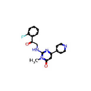 Cn1c(NCC(=O)c2ccccc2F)nc(-c2ccncc2)cc1=O